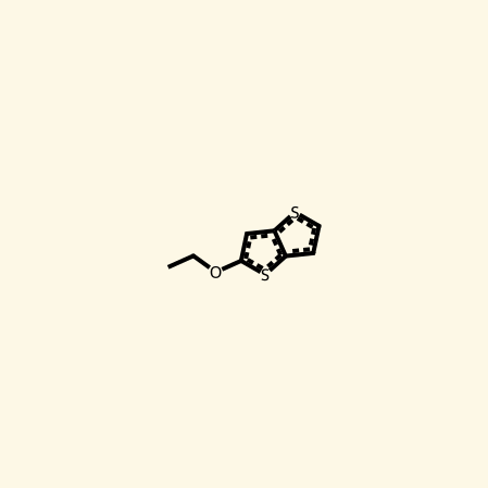 CCOc1cc2sccc2s1